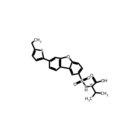 CCc1ccc(-c2ccc3c(c2)oc2ccc(S(=O)(=O)N[C@@H](C(=O)O)C(C)C)cc23)s1